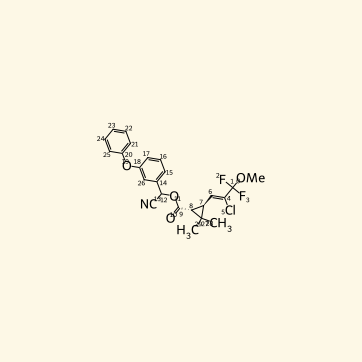 COC(F)(F)C(Cl)=C[C@@H]1[C@@H](C(=O)OC(C#N)c2cccc(Oc3ccccc3)c2)C1(C)C